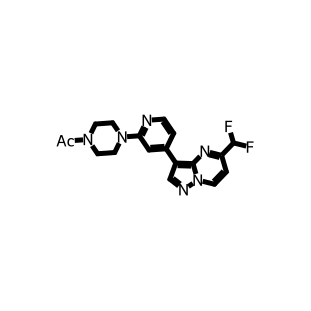 CC(=O)N1CCN(c2cc(-c3cnn4ccc(C(F)F)nc34)ccn2)CC1